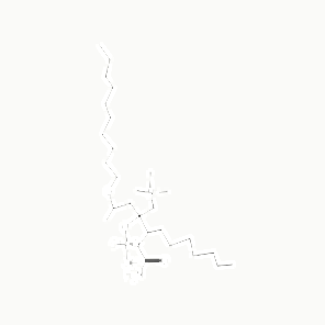 CCCCCCCCCCOC(C)CC(C[N+](C)(C)C)(OP(=O)([O-])O)C(CCCCCCC)CC(N)=O